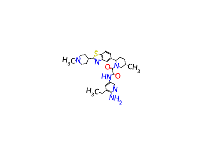 CCc1cc(NC(=O)C(=O)N2C[C@@H](C)CCC2c2ccc3sc(C4CCN(C)CC4)nc3c2)cnc1N